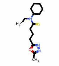 CCN(C(=S)CCCc1nnc(C)o1)C1CCCCC1